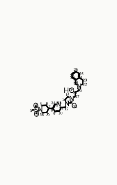 CS(=O)(=O)N1CCC(c2ccc(CN3CCN(CC(O)CN4CCc5ccccc5C4)C3=O)nc2)CC1